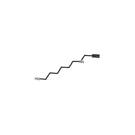 C#CCNCCCCCCO